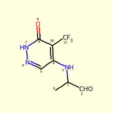 CC(C=O)Nc1cn[nH]c(=O)c1C(F)(F)F